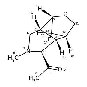 CC(=O)[C@@H]1[C@@H]2[C@H](CN1C)[C@@H]1CC[C@H]2C1(F)F